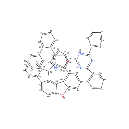 c1ccc(-c2nc(-c3ccccc3)nc(-c3cc(-c4ccccc4-c4ccccc4)cnc3-c3cccc4oc5ccc6c(c5c34)C(c3ccccc3)c3ccccc3-6)n2)cc1